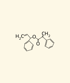 C=CC(OC(=O)C(=C)c1ccccc1)c1ccccc1